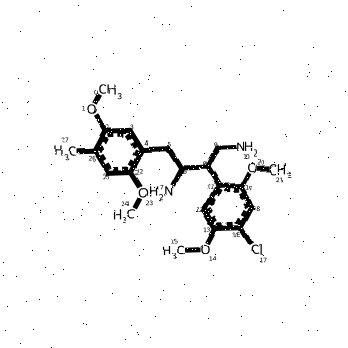 COc1cc(CC(N)C(CN)c2cc(OC)c(Cl)cc2OC)c(OC)cc1C